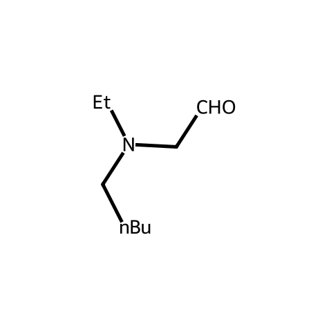 CCCCCN(CC)CC=O